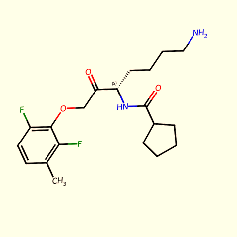 Cc1ccc(F)c(OCC(=O)[C@H](CCCCN)NC(=O)C2CCCC2)c1F